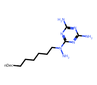 CCCCCCCCCCCCCCCCN(N)c1nc(N)nc(N)n1